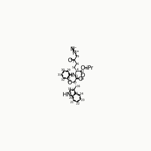 CC(C)OC(=O)[C@H](CCC(=O)C=[N+]=[N-])NC(=O)[C@H](Cc1c[nH]c2ccccc12)Oc1ccccc1